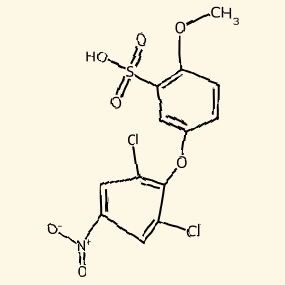 COc1ccc(Oc2c(Cl)cc([N+](=O)[O-])cc2Cl)cc1S(=O)(=O)O